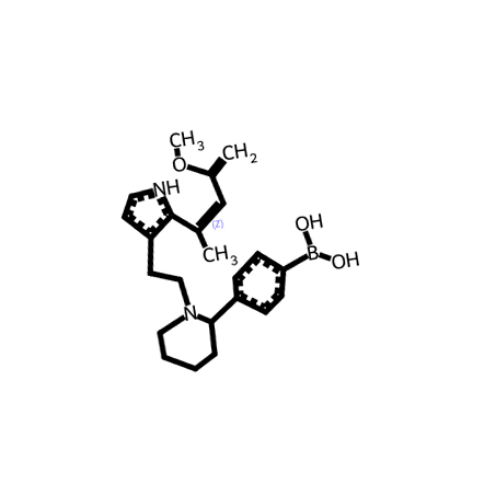 C=C(/C=C(/C)c1[nH]ccc1CCN1CCCCC1c1ccc(B(O)O)cc1)OC